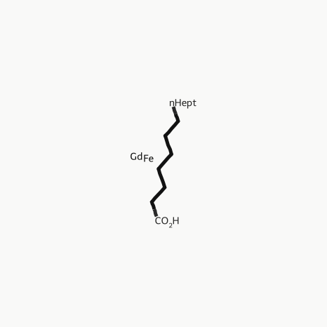 CCCCCCCCCCCCCC(=O)O.[Fe].[Gd]